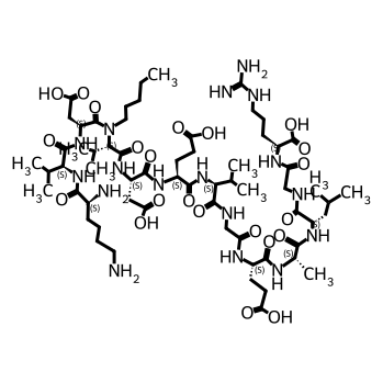 CCCCCN(C(=O)[C@H](CC(=O)O)NC(=O)[C@@H](NC(=O)[C@@H](N)CCCCN)C(C)C)[C@H](C(=O)N[C@@H](CC(=O)O)C(=O)N[C@@H](CCC(=O)O)C(=O)N[C@H](C(=O)NCC(=O)N[C@@H](CCC(=O)O)C(=O)N[C@@H](C)C(=O)N[C@@H](CC(C)C)C(=O)NCC(=O)N[C@@H](CCCNC(=N)N)C(=O)O)C(C)C)C(C)C